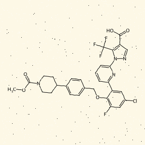 COC(=O)N1CCC(c2ccc(COc3c(F)cc(Cl)cc3-c3cccc(-n4ncc(C(=O)O)c4C(F)(F)F)n3)cc2)CC1